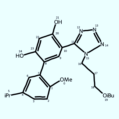 COc1ccc(C(C)C)cc1-c1cc(-c2nnnn2CCCOCC(C)C)c(O)cc1O